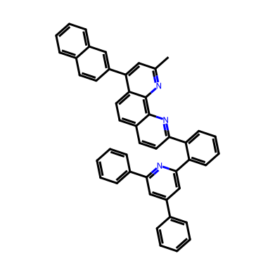 Cc1cc(-c2ccc3ccccc3c2)c2ccc3ccc(-c4ccccc4-c4cc(-c5ccccc5)cc(-c5ccccc5)n4)nc3c2n1